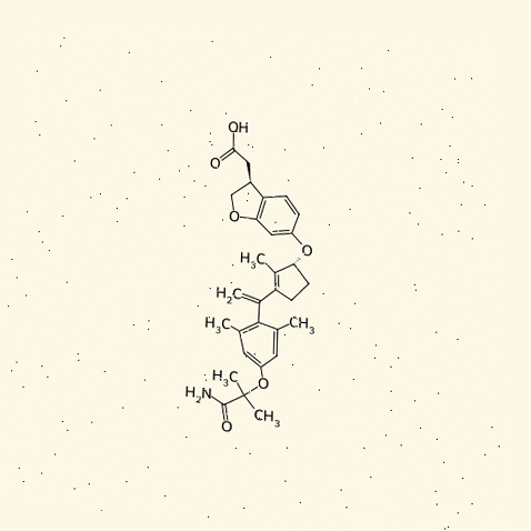 C=C(C1=C(C)[C@H](Oc2ccc3c(c2)OC[C@H]3CC(=O)O)CC1)c1c(C)cc(OC(C)(C)C(N)=O)cc1C